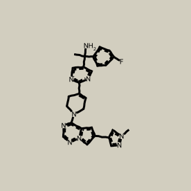 Cn1cc(-c2cc3c(N4CC=C(c5ncc(C(C)(N)c6ccc(F)cc6)cn5)CC4)ncnn3c2)cn1